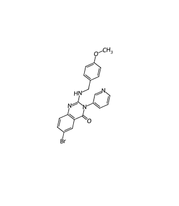 COc1ccc(CNc2nc3ccc(Br)cc3c(=O)n2-c2cccnc2)cc1